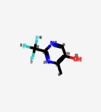 Cc1nc(C(F)(F)F)ncc1O